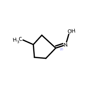 CC1CC/C(=N/O)C1